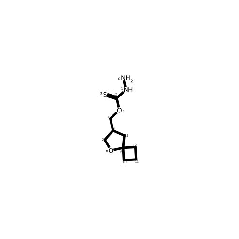 NNC(=S)OCC1COC2(CCC2)C1